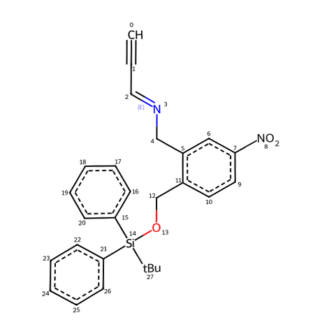 C#C/C=N/Cc1cc([N+](=O)[O-])ccc1CO[Si](c1ccccc1)(c1ccccc1)C(C)(C)C